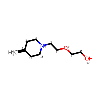 C=C1CCN(CCOCCO)CC1